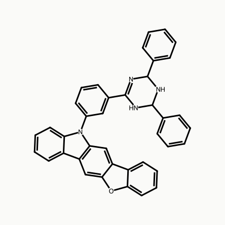 c1ccc(C2N=C(c3cccc(-n4c5ccccc5c5cc6oc7ccccc7c6cc54)c3)NC(c3ccccc3)N2)cc1